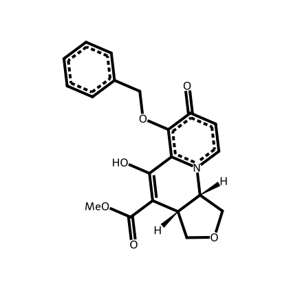 COC(=O)C1=C(O)c2c(OCc3ccccc3)c(=O)ccn2[C@@H]2COC[C@H]12